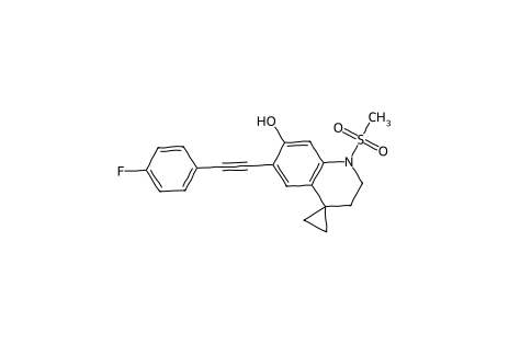 CS(=O)(=O)N1CCC2(CC2)c2cc(C#Cc3ccc(F)cc3)c(O)cc21